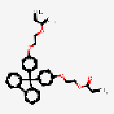 C=CC(=C)OCCOc1ccc(C2(c3ccc(OCCOC(=O)C=C)cc3)c3ccccc3-c3ccccc32)cc1